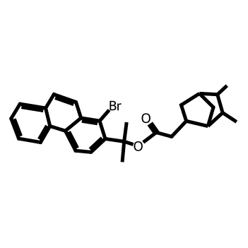 CC1C2CC(CC(=O)OC(C)(C)c3ccc4c(ccc5ccccc54)c3Br)C(C2)C1C